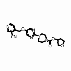 N#Cc1cnccc1COc1cnc(N2CCN(C(=O)OC3CCOC3)CC2)nc1